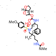 CNC(=O)NCCCC(C)(C)CN(C[C@H](O)[C@H](Cc1ccccc1)NC(=O)O[C@H]1CO[C@H]2OCC[C@H]21)S(=O)(=O)c1ccc(OC)cc1